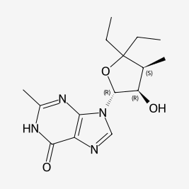 CCC1(CC)O[C@@H](n2cnc3c(=O)[nH]c(C)nc32)[C@H](O)[C@@H]1C